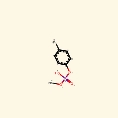 CCCCOP(=O)(O)Oc1ccc(C(C)C)cc1